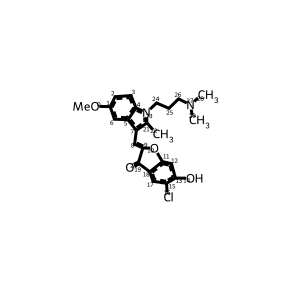 COc1ccc2c(c1)c(/C=C1\Oc3cc(O)c(Cl)cc3C1=O)c(C)n2CCCN(C)C